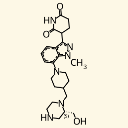 Cn1nc(C2CCC(=O)NC2=O)c2cccc(N3CCC(CN4CCNC[C@H]4CO)CC3)c21